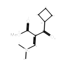 COC(=O)C(=CN(C)C)C(=O)C1CCC1